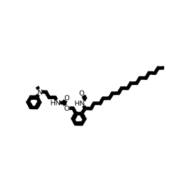 CCCCCCCCCCCCCCCCCC(NC=O)c1ccccc1COC(=O)NCCCN(C)c1ccccc1